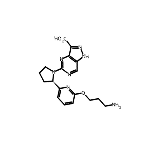 NCCCOc1cccc([C@H]2CCCN2c2ncc3[nH]nc(C(=O)O)c3n2)n1